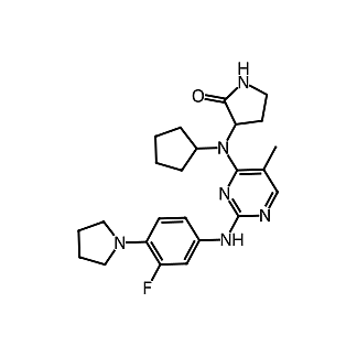 Cc1cnc(Nc2ccc(N3CCCC3)c(F)c2)nc1N(C1CCCC1)C1CCNC1=O